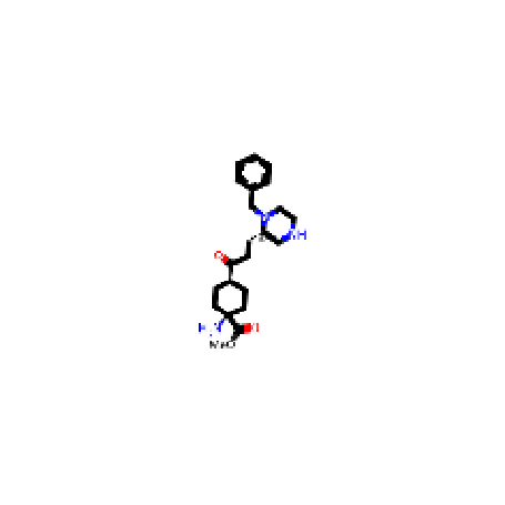 COC(=O)[C@]1(N)CC[C@@H](C(=O)CC[C@H]2CNCCN2Cc2ccccc2)CC1